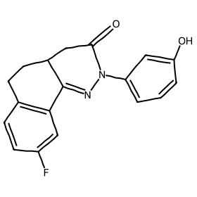 O=C1CC2CCc3ccc(F)cc3C2=NN1c1cccc(O)c1